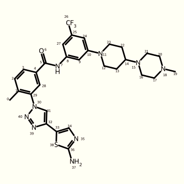 Cc1ccc(C(=O)Nc2cc(N3CCC(N4CCN(C)CC4)CC3)cc(C(F)(F)F)c2)cc1-n1cc(-c2cnc(N)s2)nn1